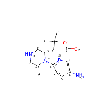 CC(C)(C)OC=O.CC1CNCCN1c1ccc(N)cn1